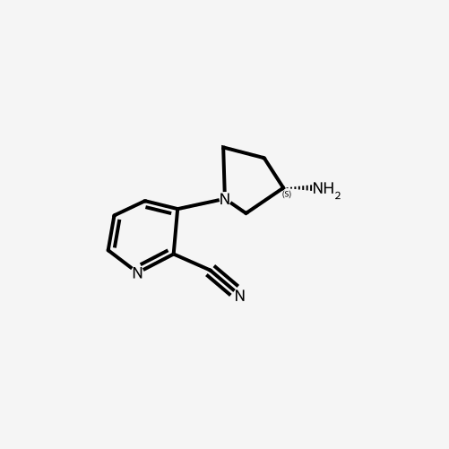 N#Cc1ncccc1N1CC[C@H](N)C1